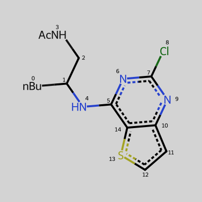 CCCCC(CNC(C)=O)Nc1nc(Cl)nc2ccsc12